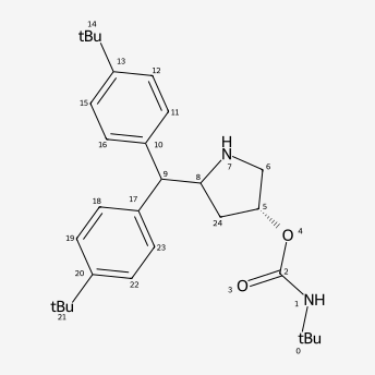 CC(C)(C)NC(=O)O[C@H]1CNC(C(c2ccc(C(C)(C)C)cc2)c2ccc(C(C)(C)C)cc2)C1